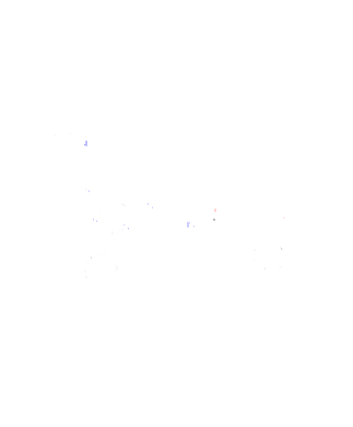 CC(=O)NCCNc1cc(NCCNC(=O)CCc2ccc(O)cc2O)nc(-c2ccc(Cl)cc2)n1